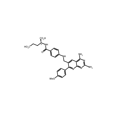 COc1ccc(-c2nc3nc(N)nc(N)c3cc2CNc2ccc(C(=O)N[C@@H](CCC(=O)O)C(=O)O)cc2)cc1